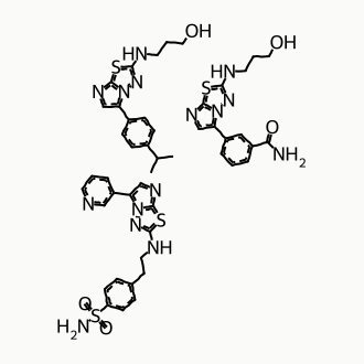 CC(C)c1ccc(-c2cnc3sc(NCCCO)nn23)cc1.NC(=O)c1cccc(-c2cnc3sc(NCCCO)nn23)c1.NS(=O)(=O)c1ccc(CCNc2nn3c(-c4cccnc4)cnc3s2)cc1